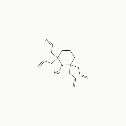 C=CCC1(CC=C)CCCC(CC=C)(CC=C)N1O